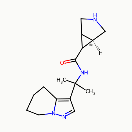 CC(C)(NC(=O)C1C2CNC[C@H]21)c1cnn2c1CCCC2